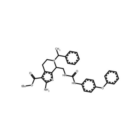 CC(c1ccccc1)N1CCc2c(sc(N)c2C(=O)OC(C)(C)C)C1CNC(=O)Nc1ccc(Oc2ccccc2)cc1